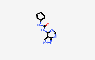 O=C(Nc1ccccc1)Nc1ncnc2n[nH]cc12